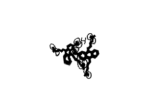 CC(=O)OCCCc1c2ccccc2c(CCCOC(C)=O)c2cc(C(=O)Oc3c(C(=O)O)ccc4c(CCCOC(C)=O)c5ccccc5c(CCCOC(C)=O)c34)ccc12